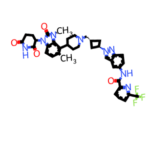 Cc1ccc2c(c1C1CCN(C[C@H]3C[C@H](n4cc5cc(NC(=O)c6cccc(C(F)(F)F)n6)ccc5n4)C3)CC1)n(C)c(=O)n2C1CCC(=O)NC1=O